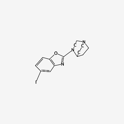 Ic1ccc2oc(N3CCN4CCC3CC4)nc2c1